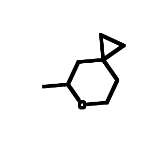 CC1CC2(CCO1)CC2